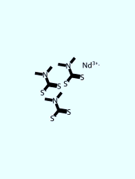 CN(C)C(=S)[S-].CN(C)C(=S)[S-].CN(C)C(=S)[S-].[Nd+3]